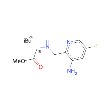 CC[C@H](C)[C@H](NCc1ncc(F)cc1N)C(=O)OC